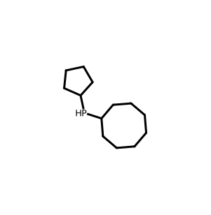 C1CCCC(PC2CCCC2)CCC1